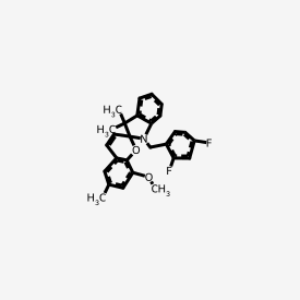 COc1cc(C)cc2c1OC1(C=C2)N(Cc2ccc(F)cc2F)c2ccccc2C1(C)C